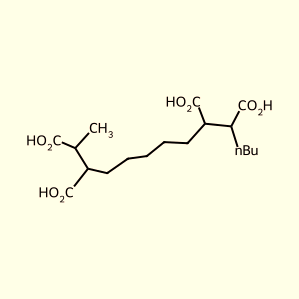 CCCCC(C(=O)O)C(CCCCCC(C(=O)O)C(C)C(=O)O)C(=O)O